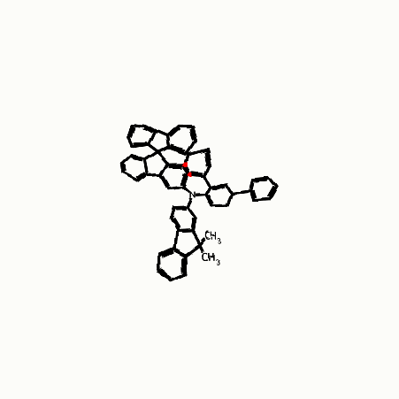 CC1(C)c2ccccc2-c2ccc(N(C3=CCC(c4ccccc4)C=C3C3=CCCC=C3)c3ccc4c(c3)-c3ccccc3C43c4ccccc4-c4ccccc43)cc21